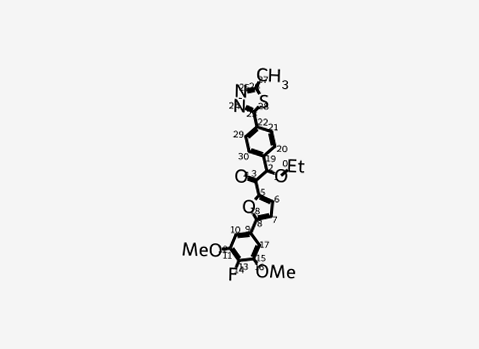 CCOC(C(=O)c1ccc(-c2cc(OC)c(F)c(OC)c2)o1)c1ccc(-c2nnc(C)s2)cc1